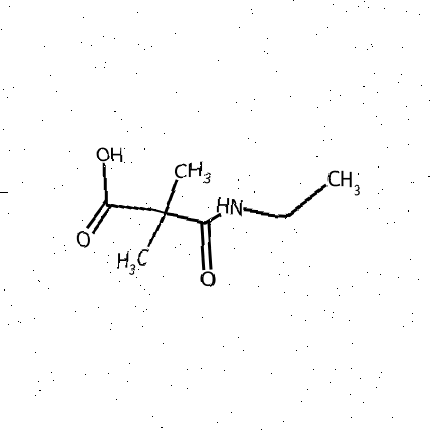 CCNC(=O)C(C)(C)C(=O)O